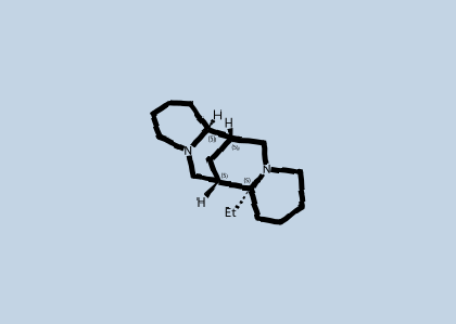 CC[C@@]12CCCCN1C[C@@H]1C[C@H]2CN2CCCC[C@@H]12